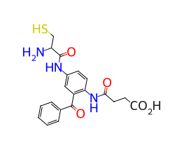 NC(CS)C(=O)Nc1ccc(NC(=O)CCC(=O)O)c(C(=O)c2ccccc2)c1